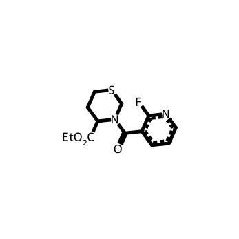 CCOC(=O)C1CCSCN1C(=O)c1cccnc1F